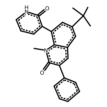 Cn1c(=O)c(-c2ccccc2)cc2cc(C(C)(C)C)cc(-c3ccc[nH]c3=O)c21